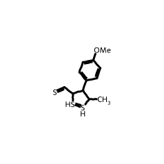 COc1ccc(C2C(C)[SH]=[SH]C2C=S)cc1